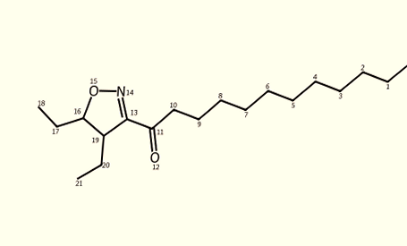 CCCCCCCCCCCC(=O)C1=NOC(CC)C1CC